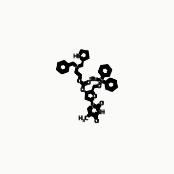 Cc1cn([C@H]2C[C@H](OC(=O)OCCN(Cc3ccccc3)C[C@@H]3CCCN3)[C@@H](CO[Si](c3ccccc3)(c3ccccc3)C(C)(C)C)O2)c(=O)[nH]c1=O